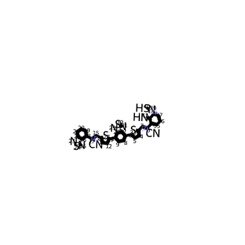 N#C/C(=C\c1ccc(-c2ccc(-c3ccc(/C=C(\C#N)c4cccc5nsnc45)s3)c3nsnc23)s1)C1=CC=C/C(=N/S)C1=N